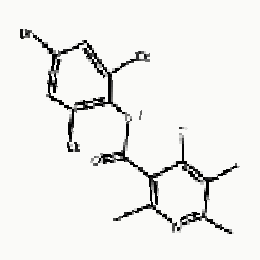 CCc1cc(Br)cc(CC)c1NC(=O)c1c(C)nc(C)c(C)c1Cl